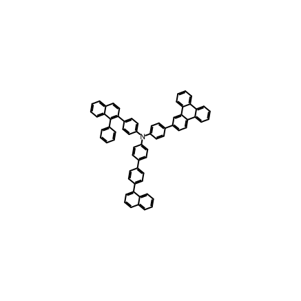 c1ccc(-c2c(-c3ccc(N(c4ccc(-c5ccc(-c6cccc7ccccc67)cc5)cc4)c4ccc(-c5ccc6c7ccccc7c7ccccc7c6c5)cc4)cc3)ccc3ccccc23)cc1